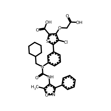 Cc1onc(-c2ccccc2)c1NC(=O)N(CC1CCCCC1)c1cccc(-c2sc(C(=O)O)c(OCC(=O)O)c2Cl)c1